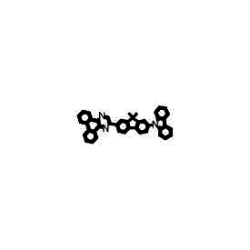 CC1(C)c2cc(-c3cnc4c5ccccc5c5ccccc5c4n3)ccc2-c2ccc(-n3c4ccccc4c4ccccc43)cc21